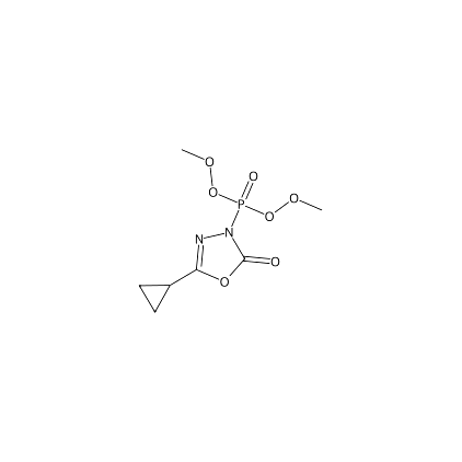 COOP(=O)(OOC)n1nc(C2CC2)oc1=O